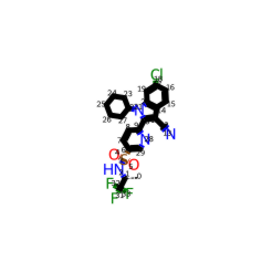 C[C@@H](NS(=O)(=O)c1ccc(-c2c(C#N)c3ccc(Cl)cc3n2C2CCCCC2)nc1)C(F)(F)F